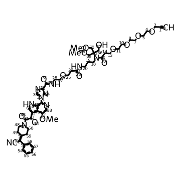 C#CCOCCOCCOCCOCCC(=O)N(CCCNC(=O)CCOCCNC(=O)c1ncn(-c2ncc(OC)c3c(C(=O)C(=O)N4CCC(=C(C#N)c5ccccc5)CC4)c[nH]c23)n1)C(CO)(COC)COC